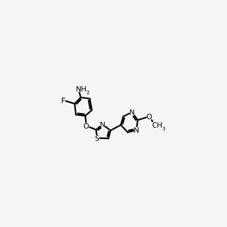 COc1ncc(-c2csc(Oc3ccc(N)c(F)c3)n2)cn1